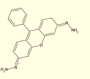 NN=C1C=c2oc3c/c(=N/N)ccc-3c(-c3ccccc3)c2=CC1